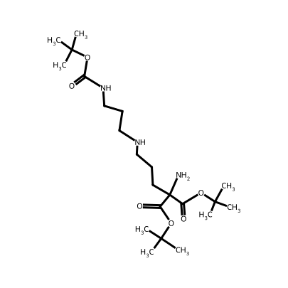 CC(C)(C)OC(=O)NCCCNCCCC(N)(C(=O)OC(C)(C)C)C(=O)OC(C)(C)C